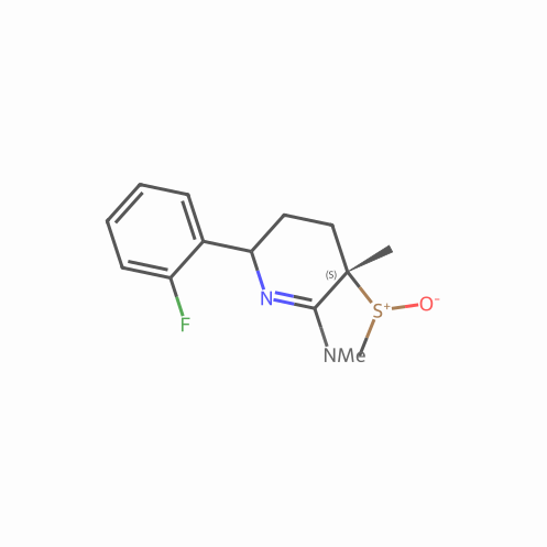 CNC1=NC(c2ccccc2F)CC[C@]1(C)[S+](C)[O-]